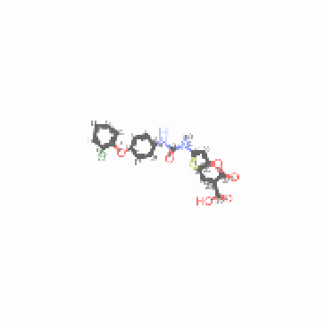 CN(C(=O)Nc1ccc(Oc2ccccc2Cl)cc1)c1cc2oc(=O)c(C(=O)O)cc2s1